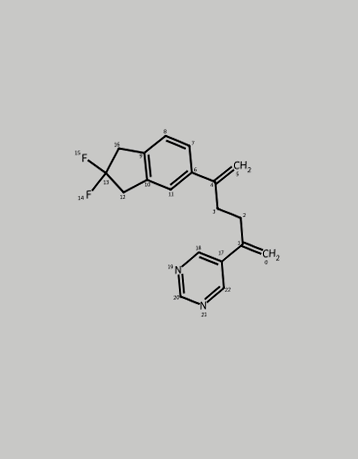 C=C(CCC(=C)c1ccc2c(c1)CC(F)(F)C2)c1cncnc1